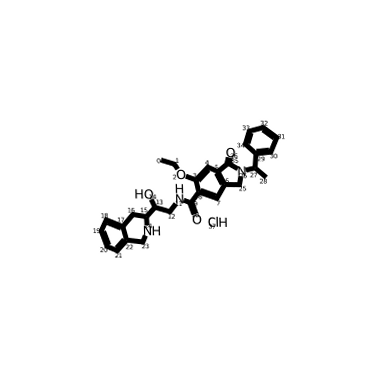 CCOc1cc2c(cc1C(=O)NCC(O)C1Cc3ccccc3CN1)CN(C(C)c1ccccc1)C2=O.Cl